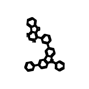 c1ccc(-c2ccc3c(c2)c2cc(-c4cccc(-c5ncnc6c5oc5ccccc56)c4)ccc2n3-c2ccccc2)cc1